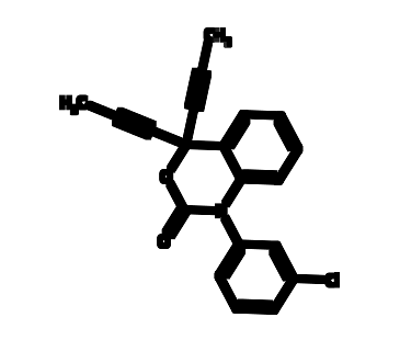 CC#CC1(C#CC)OC(=O)N(c2cccc(Cl)c2)c2ccccc21